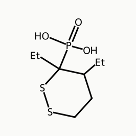 CCC1CCSSC1(CC)P(=O)(O)O